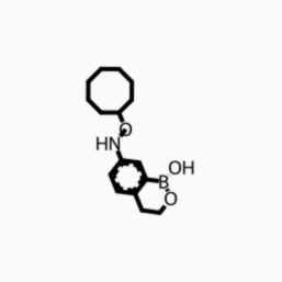 OB1OCCc2ccc(NOC3CCCCCCC3)cc21